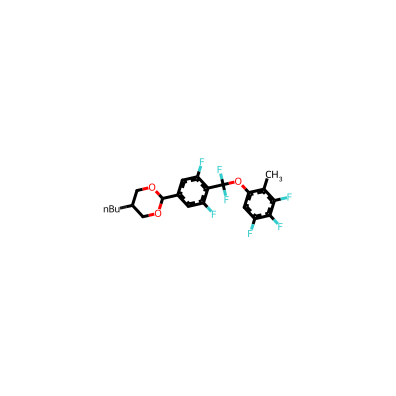 CCCCC1COC(c2cc(F)c(C(F)(F)Oc3cc(F)c(F)c(F)c3C)c(F)c2)OC1